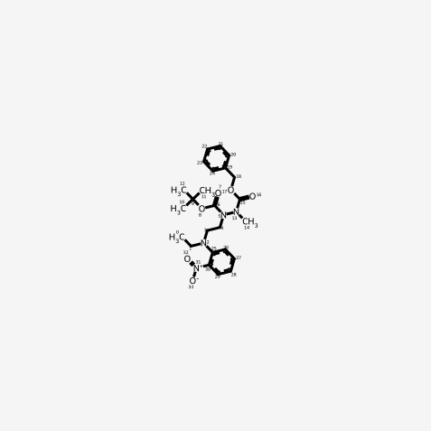 CCN(CCN(C(=O)OC(C)(C)C)N(C)C(=O)OCc1ccccc1)c1ccccc1[N+](=O)[O-]